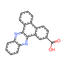 O=C(O)c1ccc2c3ccccc3c3nc4ccccc4nc3c2c1